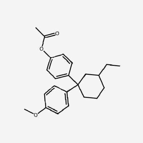 CCC1CCCC(c2ccc(OC)cc2)(c2ccc(OC(C)=O)cc2)C1